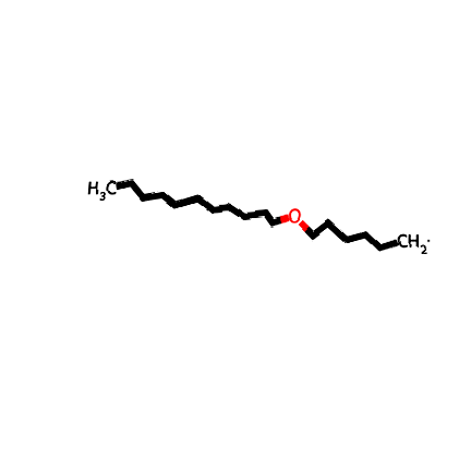 [CH2]CCCCCOCCCCCCCCCCC